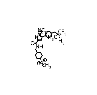 CCn1nc(C(=O)NCC2CCC(S(C)(=O)=O)CC2)cc1-c1ccc(CC(C)(C)C(F)(F)F)cc1C#N